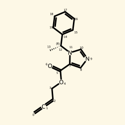 C=C=CCOC(=O)c1cncn1[C@H](C)c1ccccc1